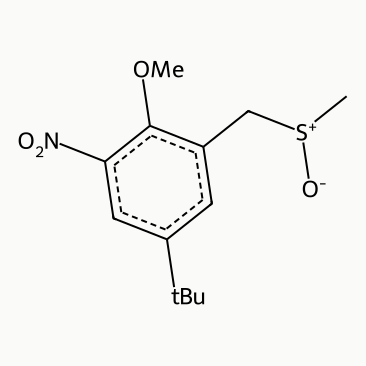 COc1c(C[S+](C)[O-])cc(C(C)(C)C)cc1[N+](=O)[O-]